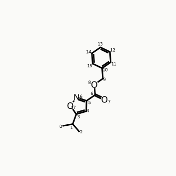 CC(C)c1cc(C(=O)OCc2ccccc2)no1